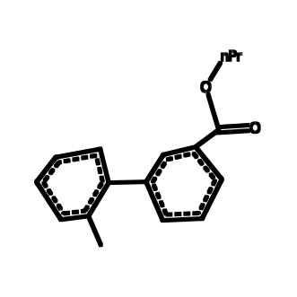 CCCOC(=O)c1cccc(-c2ccccc2C)c1